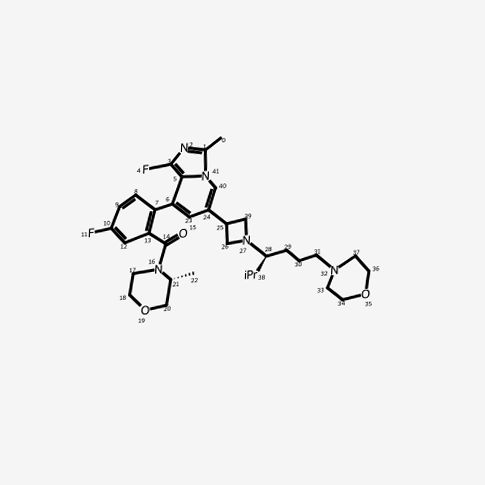 Cc1nc(F)c2c(-c3ccc(F)cc3C(=O)N3CCOC[C@H]3C)cc(C3CN([C@@H](CCCN4CCOCC4)C(C)C)C3)cn12